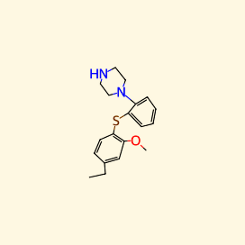 CCc1ccc(Sc2ccccc2N2CCNCC2)c(OC)c1